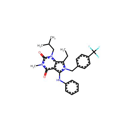 CCc1c2c(c(Nc3ccccc3)n1Cc1ccc(C(F)(F)F)cc1)c(=O)n(C)c(=O)n2CC(C)C